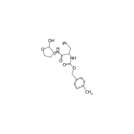 Cc1ccc(COC(=O)NC(CC(C)C)C(=O)N[C@H]2CCOC2O)cc1